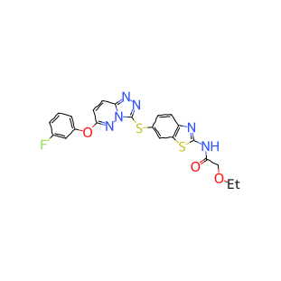 CCOCC(=O)Nc1nc2ccc(Sc3nnc4ccc(Oc5cccc(F)c5)nn34)cc2s1